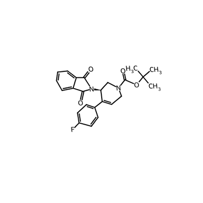 CC(C)(C)OC(=O)N1CC=C(c2ccc(F)cc2)[C@@H](N2C(=O)c3ccccc3C2=O)C1